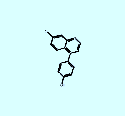 Oc1ccc(-c2ccnc3cc(Cl)ccc23)cc1